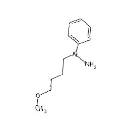 COCCCCN(N)c1ccccc1